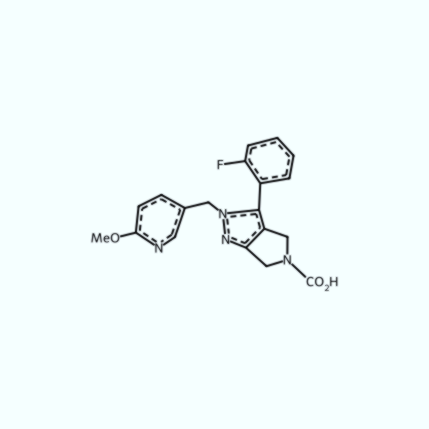 COc1ccc(Cn2nc3c(c2-c2ccccc2F)CN(C(=O)O)C3)cn1